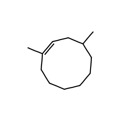 CC1=CCC(C)CCCCCC1